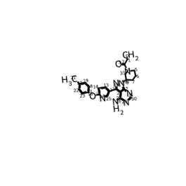 C=CC(=O)N1CCC[C@@H](n2nc(-c3ccc(Oc4ccc(C)cc4)nc3)c3c(N)ncnc32)C1